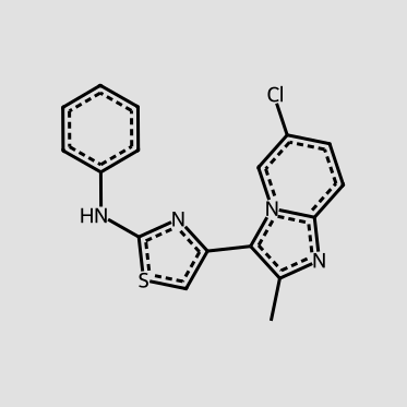 Cc1nc2ccc(Cl)cn2c1-c1csc(Nc2ccccc2)n1